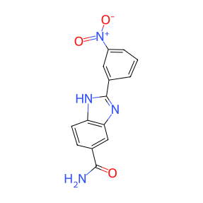 NC(=O)c1ccc2[nH]c(-c3cccc([N+](=O)[O-])c3)nc2c1